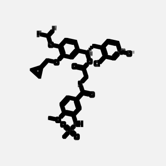 COc1ccc(C(=O)SCC(=O)O[C@@H](Cc2cc[n+]([O-])cc2Cl)c2ccc(OC(F)F)c(OCC3CC3)c2)cc1NS(C)(=O)=O